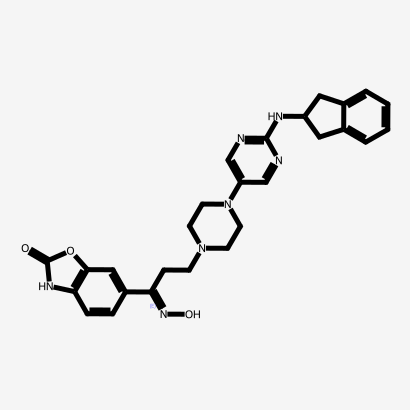 O=c1[nH]c2ccc(/C(CCN3CCN(c4cnc(NC5Cc6ccccc6C5)nc4)CC3)=N/O)cc2o1